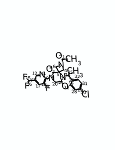 CC(=O)N1CC2(C1)C(=O)N(c1ncc(C(F)F)cc1F)CC(=O)N2[C@@H](C)c1ccc(Cl)cc1